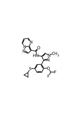 Cn1cc(NC(=O)c2cnn3cccnc23)c(-c2cc(SC3CC3)ccc2OC(F)F)n1